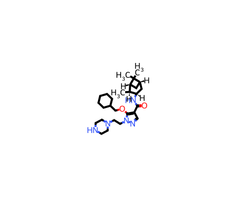 C[C@H]1[C@H]2C[C@@H](C[C@H]1NC(=O)c1cnn(CCN3CCNCC3)c1OCC1CCCCC1)C2(C)C